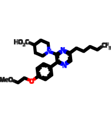 COCCOc1ccc(-c2ncc(CCCCC(F)(F)F)nc2N2CCC(C(=O)O)CC2)cc1